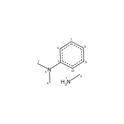 CN.CN(C)c1ccccc1